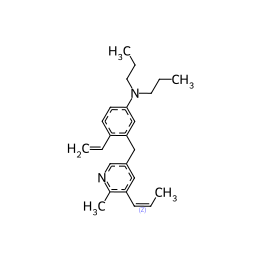 C=Cc1ccc(N(CCC)CCC)cc1Cc1cnc(C)c(/C=C\C)c1